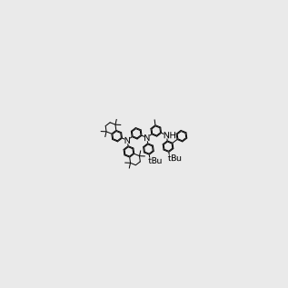 Cc1cc(Nc2ccc(C(C)(C)C)cc2-c2ccccc2)cc(N(c2ccc(C(C)(C)C)cc2)c2cccc(N(c3ccc4c(c3)C(C)(C)CCC4(C)C)c3ccc4c(c3)C(C)(C)CCC4(C)C)c2)c1